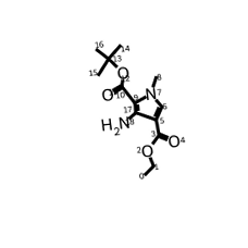 CCOC(=O)c1cn(C)c(C(=O)OC(C)(C)C)c1N